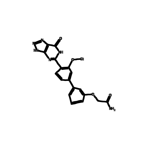 CCOc1cc(-c2cccc(OCC(N)=O)c2)ccc1-c1nc2[nH]nnc2c(=O)[nH]1